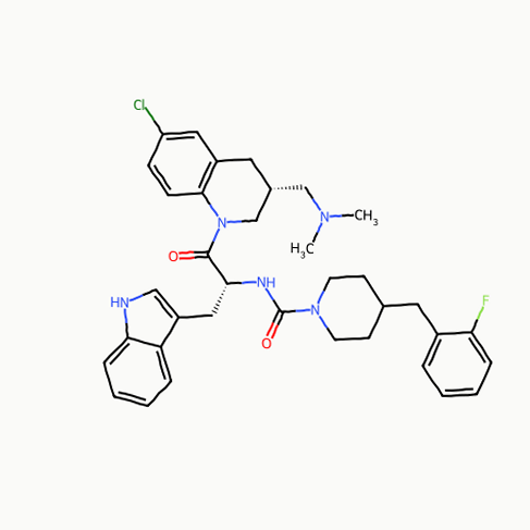 CN(C)C[C@H]1Cc2cc(Cl)ccc2N(C(=O)[C@@H](Cc2c[nH]c3ccccc23)NC(=O)N2CCC(Cc3ccccc3F)CC2)C1